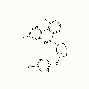 O=C(c1cccc(F)c1-c1ncc(F)cn1)N1CC2CC(Oc3ccc(Cl)cn3)C1C2